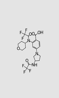 O=C(O)c1ccc(N2CCC(NC(=O)C(F)(F)F)C2)cc1N(C(=O)C(F)(F)F)C1CCOCC1